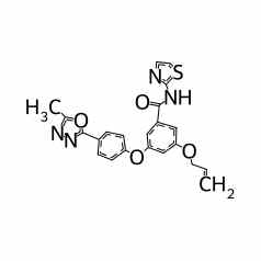 C=CCOc1cc(Oc2ccc(-c3nnc(C)o3)cc2)cc(C(=O)Nc2nccs2)c1